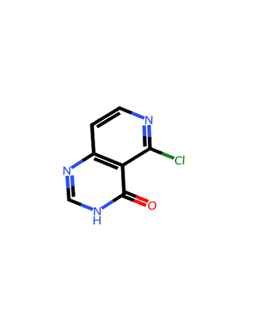 O=c1[nH]cnc2ccnc(Cl)c12